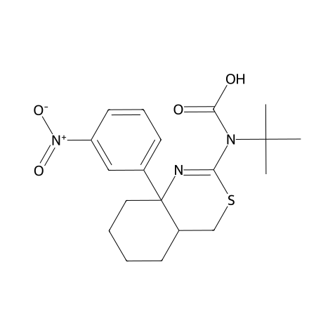 CC(C)(C)N(C(=O)O)C1=NC2(c3cccc([N+](=O)[O-])c3)CCCCC2CS1